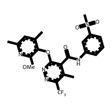 COc1nc(C)cc(C)c1Oc1nnc(C(F)(F)F)c(C)c1C(=O)Nc1cccc(S(C)(=O)=O)c1